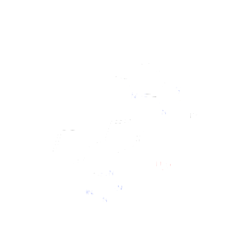 CCc1nc2c(C)cc(C)nc2n1Cc1ccc(-c2ccccc2-c2nnn[nH]2)cc1.O